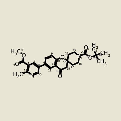 COC(=O)c1cc(-c2ccc3c(c2)C(=O)CC2(CCN(C(=O)OC(C)(C)C)CC2)O3)cnc1C